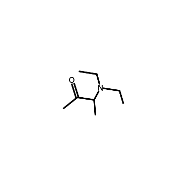 CCN(CC)C(C)C(C)=O